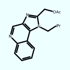 CC(=O)OCc1nc2cnc3ccccc3c2n1CC(C)C